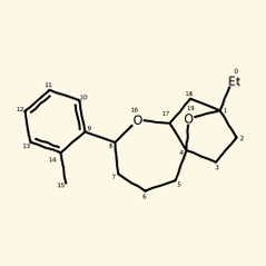 CCC12CCC3(CCCC(c4ccccc4C)OC3C1)O2